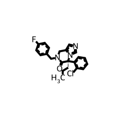 CCC[C@]1(c2ccccc2Cl)C(=O)N(Cc2ccc(F)cc2)Cc2cncn21